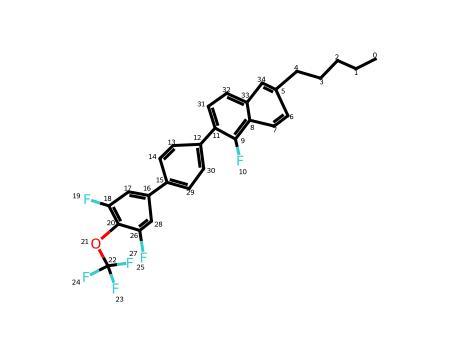 CCCCCc1ccc2c(F)c(-c3ccc(-c4cc(F)c(OC(F)(F)F)c(F)c4)cc3)ccc2c1